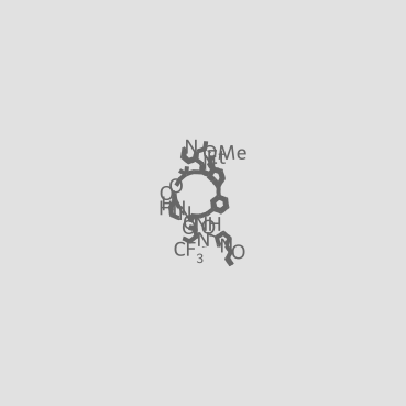 C=CC(=O)N1CC[C@H](C(=O)N(C)[C@H](C(=O)N[C@H]2Cc3cccc(c3)-c3ccc4c(c3)c(c(-c3cccnc3[C@H](C)OC)n4CC)CC(C)(C)COC(=O)[C@@H]3CCCN(N3)C2=O)[C@H](C)C(F)(F)F)C1